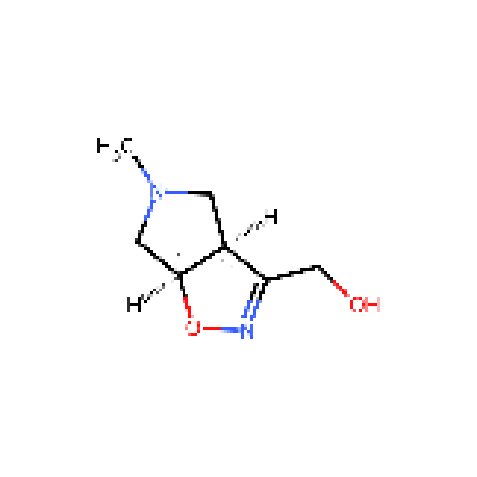 CN1C[C@@H]2ON=C(CO)[C@@H]2C1